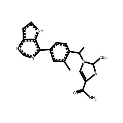 Cc1cc(-c2ncnc3cc[nH]c23)ccc1C(C)N1C=C(C(N)=O)SC1C(C)(C)C